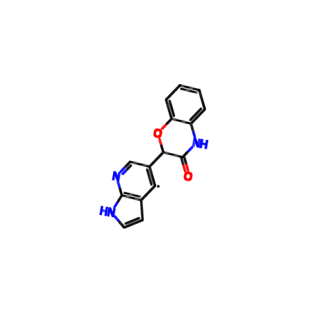 O=C1Nc2ccccc2OC1c1[c]c2cc[nH]c2nc1